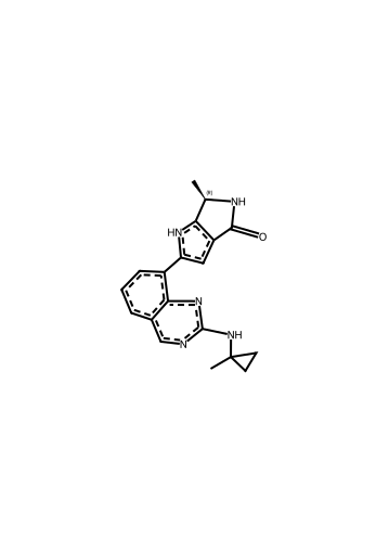 C[C@H]1NC(=O)c2cc(-c3cccc4cnc(NC5(C)CC5)nc34)[nH]c21